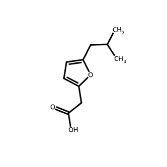 CC(C)Cc1ccc(CC(=O)O)o1